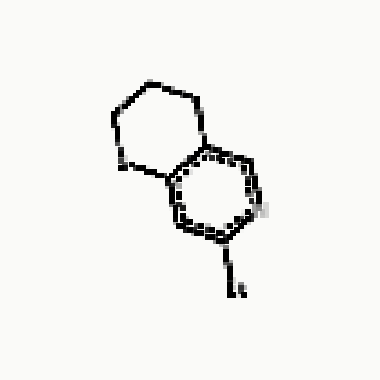 CCc1cc2c(cn1)CCCS2